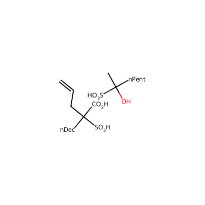 C=CCC(CCCCCCCCCC)(C(=O)O)S(=O)(=O)O.CCCCCC(C)(O)S(=O)(=O)O